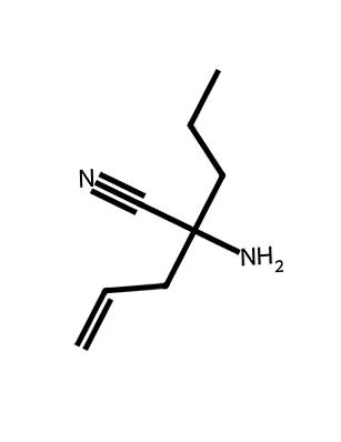 C=CCC(N)(C#N)CCC